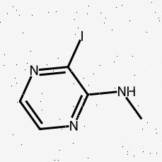 CNc1nccnc1I